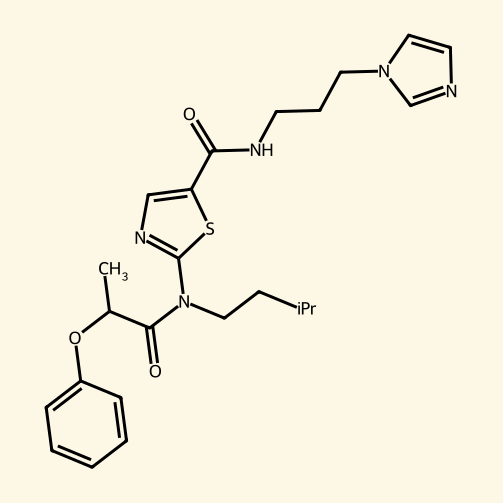 CC(C)CCN(C(=O)C(C)Oc1ccccc1)c1ncc(C(=O)NCCCn2ccnc2)s1